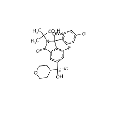 CC[C@@](O)(c1cc(F)c2c(c1)C(=O)N(C(C)(C)C(=O)O)C2(OC)c1ccc(Cl)cc1)C1CCOCC1